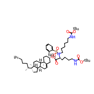 CC(C)CCC[C@@H](C)[C@H]1CC[C@H]2[C@@H]3CC=C4C[C@@H](OC(=O)[C@H](CCCCNC(=O)OC(C)(C)C)N(CCCCCCNC(=O)OC(C)(C)C)S(=O)(=O)c5ccccc5[N+](=O)[O-])CC[C@]4(C)[C@H]3CC[C@]12C